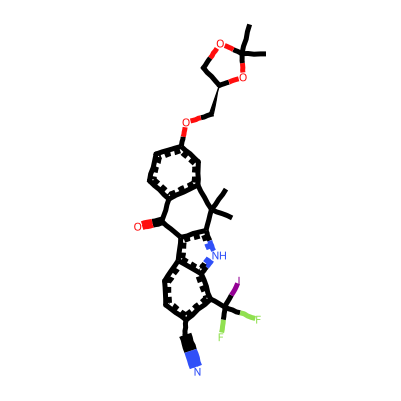 CC1(C)OC[C@H](COc2ccc3c(c2)C(C)(C)c2[nH]c4c(C(F)(F)I)c(C#N)ccc4c2C3=O)O1